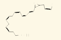 CC/C=C\CC1OC1/C=C/C=C\C=C/C/C=C\C/C=C\CCC(=O)O